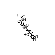 C/C(=N\NC(=O)C1=CCC(C(=O)NCC(=O)O)S1)c1csc(-c2ccc(Cl)c(Cl)c2)c1O